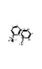 [Ni+2].[S-]c1ccccc1.[S-]c1ccccc1